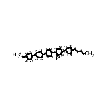 CCCCCC1CCC(c2ccc(C3=CCC(C4CCC(c5ccc(CC)cc5)CC4)CC3)c(F)c2)CC1